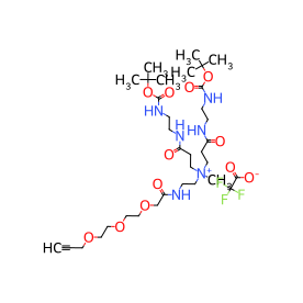 C#CCOCCOCCOCC(=O)NCC[N+](C)(CCC(=O)NCCNC(=O)OC(C)(C)C)CCC(=O)NCCNC(=O)OC(C)(C)C.O=C([O-])C(F)(F)F